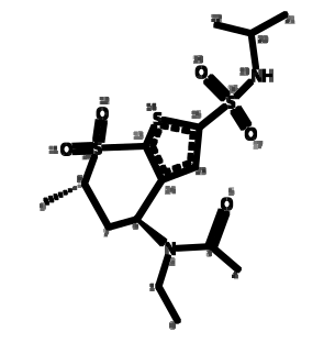 CCN(C(C)=O)[C@H]1C[C@H](C)S(=O)(=O)c2sc(S(=O)(=O)NC(C)C)cc21